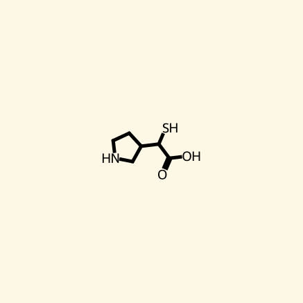 O=C(O)C(S)C1CCNC1